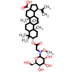 C=C(C)[C@@H]1CC[C@]2(C(=O)O)CC[C@]3(C)C(CCC4[C@@]5(C)CC[C@H](OC(=O)CN(OC)C6O[C@H](CO)[C@@H](O)[C@H](O)[C@@H]6O)C(C)(C)C5CC[C@]43C)C12